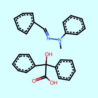 CN(/N=C/c1ccccc1)c1ccccc1.O=C(O)C(O)(c1ccccc1)c1ccccc1